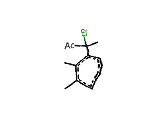 CC(=O)C(C)(Br)c1cccc(C)c1C